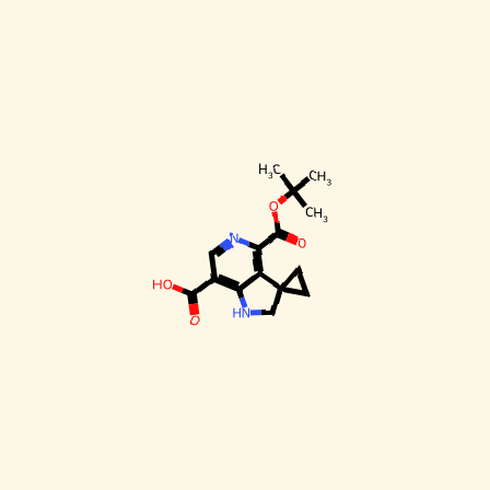 CC(C)(C)OC(=O)c1ncc(C(=O)O)c2c1C1(CC1)CN2